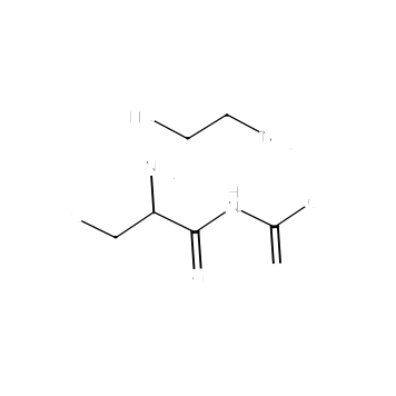 CC(=O)NC(=O)C(N)CS.NCCS